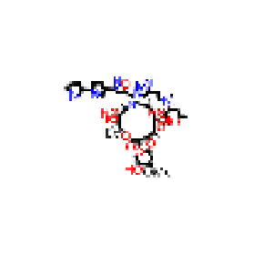 CC[C@H]1OC(=O)[C@H](C)[C@@H](O[C@H]2C[C@@](C)(OC)[C@@H](O)[C@H](C)O2)[C@H](C)[C@@H](O[C@@H]2O[C@H](C)C[C@H](N(C)CCc3cn(CC4CC(c5ccc(-c6cccnc6)nc5)=NO4)nn3)[C@H]2O)[C@](C)(O)C[C@@H](C)CN(C)[C@H](C)[C@@H](O)[C@]1(C)O